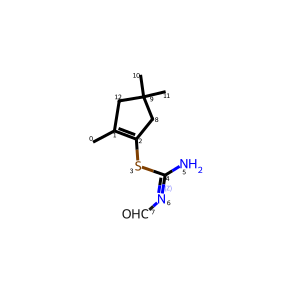 CC1=C(S/C(N)=N\C=O)CC(C)(C)C1